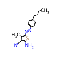 CCCCc1ccc(N=Nc2sc(N)c(C#N)c2C)cc1